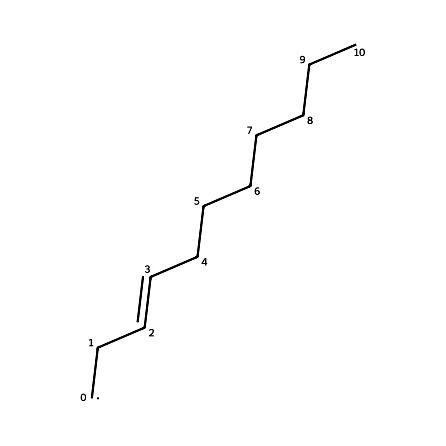 [CH2]CC=CCCCCCCC